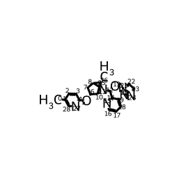 Cc1ccc(OC2CC3CC2N(C(=O)c2ncccc2-n2nccn2)C3C)nc1